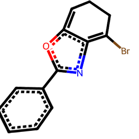 BrC1=c2nc(-c3ccccc3)oc2=CCC1